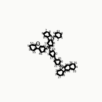 c1ccc(-n2c3ccccc3c3cc(N(c4ccc(-c5ccc(-n6c7ccccc7c7cc8ccccc8cc76)cc5)cc4)c4ccc5c(c4)oc4ccccc45)ccc32)cc1